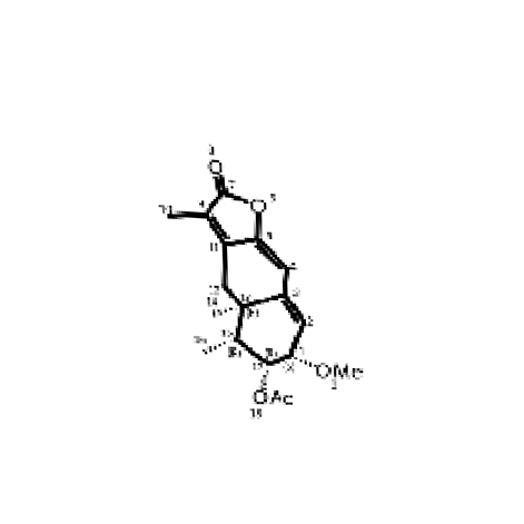 CO[C@H]1C=C2C=C3OC(=O)C(C)=C3C[C@]2(C)[C@@H](C)[C@H]1OC(C)=O